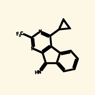 N=C1c2ccccc2-c2c1nc(C(F)(F)F)nc2C1CC1